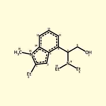 CCc1cc2c(C(CO)N(CC)CC)cccc2n1C